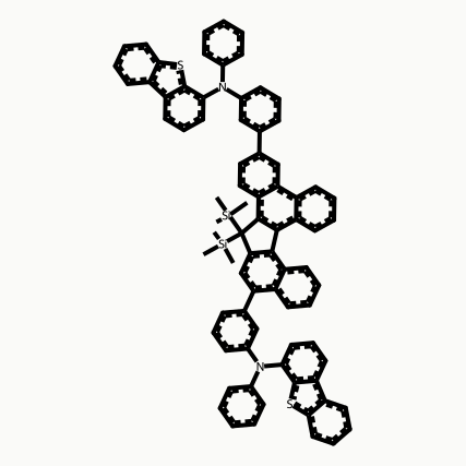 C[Si](C)(C)C1([Si](C)(C)C)c2cc(-c3cccc(N(c4ccccc4)c4cccc5c4sc4ccccc45)c3)c3ccccc3c2-c2c1c1ccc(-c3cccc(N(c4ccccc4)c4cccc5c4sc4ccccc45)c3)cc1c1ccccc21